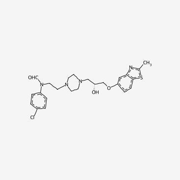 Cc1nc2cc(OC[C@H](O)CN3CCN(CCN(C=O)c4ccc(Cl)cc4)CC3)ccc2s1